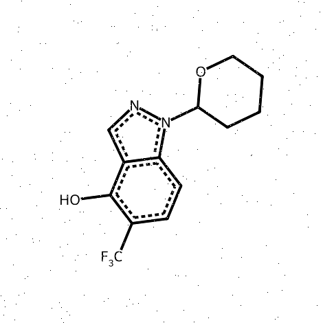 Oc1c(C(F)(F)F)ccc2c1cnn2C1CCCCO1